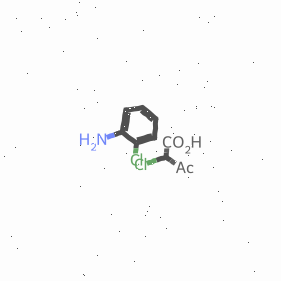 CC(=O)C(Cl)C(=O)O.Nc1ccccc1Cl